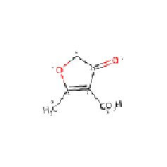 CC1=C(C(=O)O)C(=O)CO1